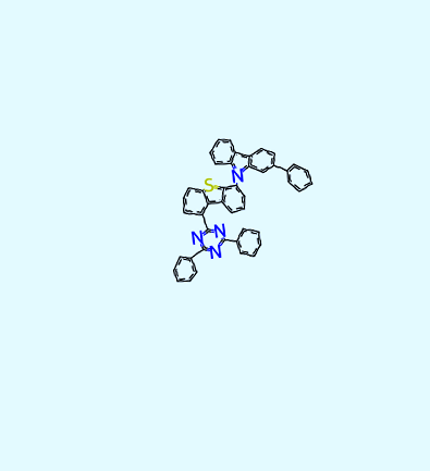 c1ccc(-c2ccc3c4ccccc4n(-c4cccc5c4sc4cccc(-c6nc(-c7ccccc7)nc(-c7ccccc7)n6)c45)c3c2)cc1